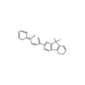 C=C(/C=C\C(I)=C1\C=CC=CC1)c1ccc2c(c1)C(C)(C)C1=C2CCC=C1